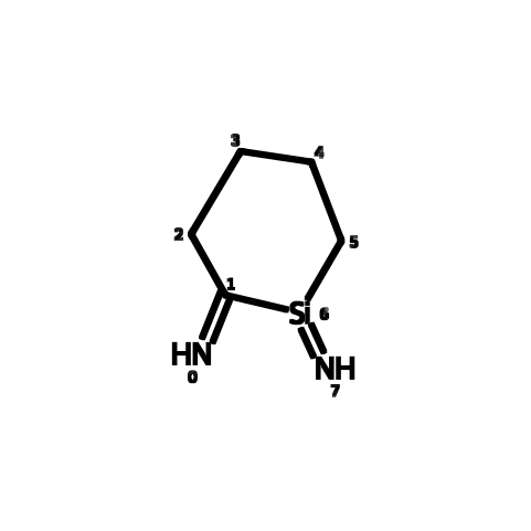 N=C1CCCC[Si]1=N